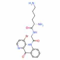 NCCCC[C@H](N)C(=O)NCC(=O)Nc1ccccc1C(=O)c1cc(Br)ccn1